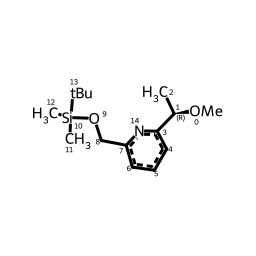 CO[C@H](C)c1cccc(CO[Si](C)(C)C(C)(C)C)n1